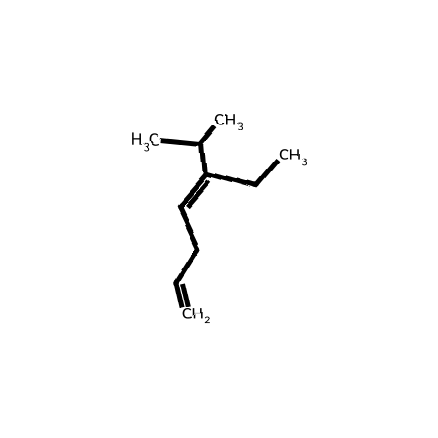 C=CC/C=C(\CC)C(C)C